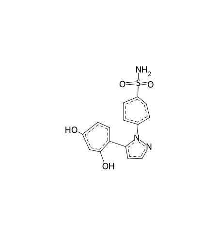 NS(=O)(=O)c1ccc(-n2nccc2-c2ccc(O)cc2O)cc1